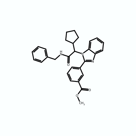 COC(=O)c1cccc(-c2nc3ccccc3n2C(C(=O)NCc2ccccc2)C2CCCC2)c1